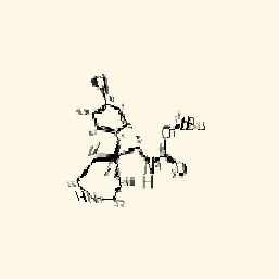 CC(C)(C)OC(=O)NCC1(c2ccc(Cl)cc2)CCNCC1